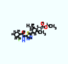 CCOC(=O)CCc1c(C)cc(-c2nnc(NC(=O)c3ccccc3F)s2)cc1C